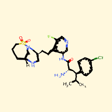 CC(C)C(c1ccc(Cl)cc1)[C@H](N)C(=O)Nc1cncc(F)c1CC[C@H]1CN[C@@H]2CCCS(=O)(=O)N1C2